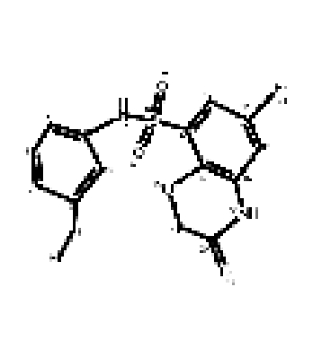 CCc1cccc(NS(=O)(=O)c2cc(Br)cc3c2OCC(=O)N3)c1